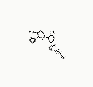 Cc1ccc(S(=O)(=O)NC23CCC(O)(C2)C3)cc1-c1cnc(N)c(-n2cncn2)n1